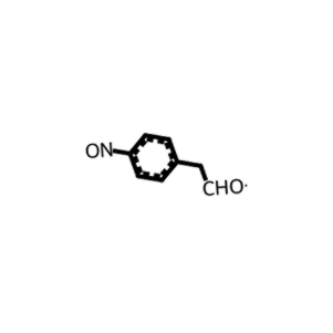 O=[C]Cc1ccc(N=O)cc1